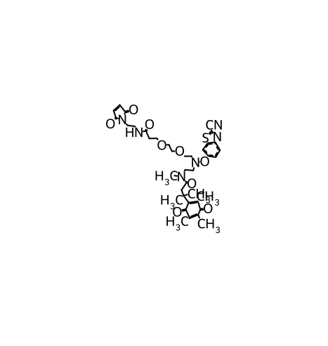 CC1=C(C)C(=O)C(C(C)(C)CC(=O)N(C)CCN(CCOCCOCCC(=O)NCCN2C(=O)C=CC2=O)Oc2ccc3nc(C#N)sc3c2)=C(C)C1=O